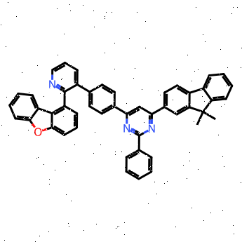 CC1(C)c2ccccc2-c2ccc(-c3cc(-c4ccc(-c5cccnc5-c5cccc6oc7ccccc7c56)cc4)nc(-c4ccccc4)n3)cc21